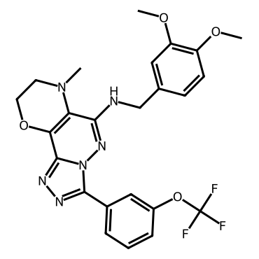 COc1ccc(CNc2nn3c(-c4cccc(OC(F)(F)F)c4)nnc3c3c2N(C)CCO3)cc1OC